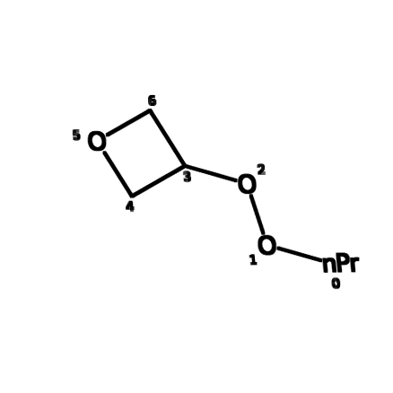 CCCOOC1COC1